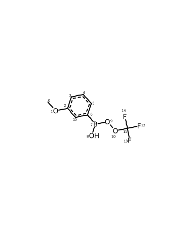 COc1cccc(B(O)OOC(F)(F)F)c1